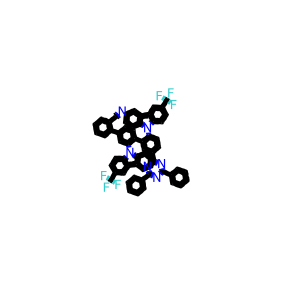 N#Cc1ccccc1-c1ccc(-c2cc(-c3nc(-c4ccccc4)nc(-c4ccccc4)n3)ccc2-n2c3ccccc3c3cc(C(F)(F)F)ccc32)c(-n2c3ccccc3c3cc(C(F)(F)F)ccc32)c1